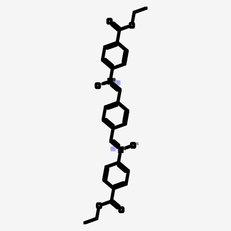 CCOC(=O)c1ccc(/[N+]([O-])=C/c2ccc(/C=[N+](\[O-])c3ccc(C(=O)OCC)cc3)cc2)cc1